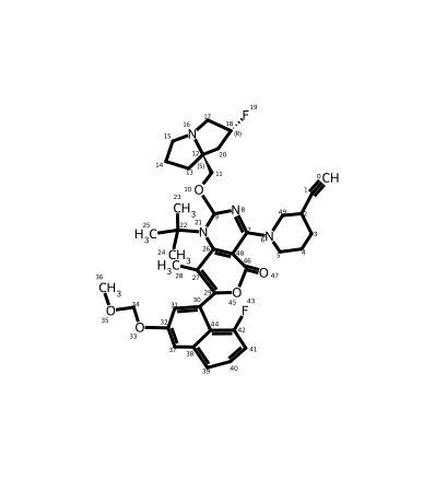 C#CC1CCCN(C2=NC(OC[C@@]34CCCN3C[C@H](F)C4)N(C(C)(C)C)c3c(C)c(-c4cc(OCOC)cc5cccc(F)c45)oc(=O)c32)C1